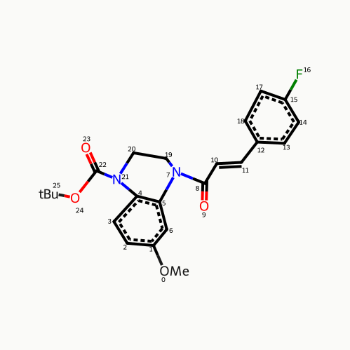 COc1ccc2c(c1)N(C(=O)C=Cc1ccc(F)cc1)CCN2C(=O)OC(C)(C)C